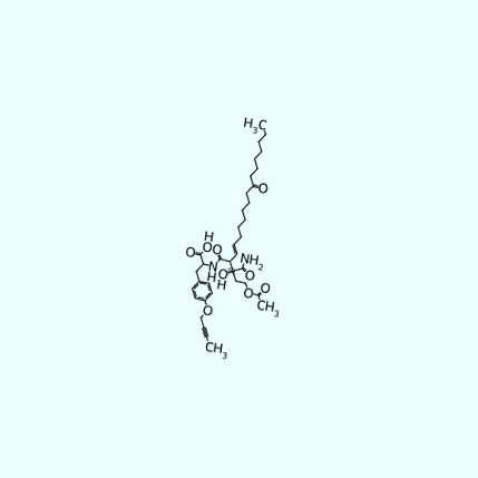 CC#CCOc1ccc(CC(NC(=O)C(C=CCCCCCCC(=O)CCCCCCC)[C@@](O)(CCOC(C)=O)C(N)=O)C(=O)O)cc1